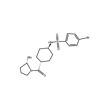 CC(C)(C)[C@H]1CCCN1C(=O)[C@H]1CC[C@H](NS(=O)(=O)c2ccc(Br)cc2)CC1